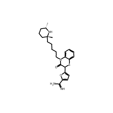 C[C@H]1CCC[C@@](C)(CCCCCN2C(=O)C(c3ccc(C(=N)N)o3)Sc3ccccc32)N1